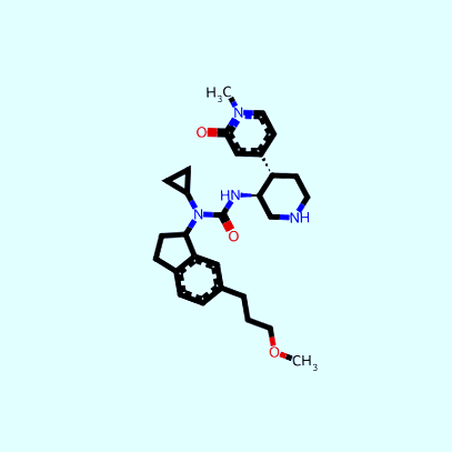 COCCCc1ccc2c(c1)C(N(C(=O)N[C@@H]1CNCC[C@H]1c1ccn(C)c(=O)c1)C1CC1)CC2